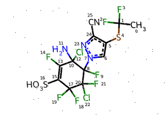 CC(F)(F)Sc1cn(C2(F)C(N)(Cl)C(F)=C(S(=O)(=O)O)C(F)(F)C2(F)Cl)nc1C#N